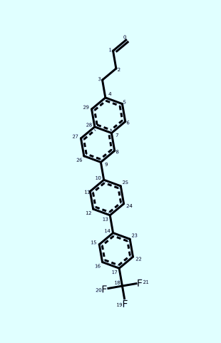 C=CCCc1ccc2cc(-c3ccc(-c4ccc(C(F)(F)F)cc4)cc3)ccc2c1